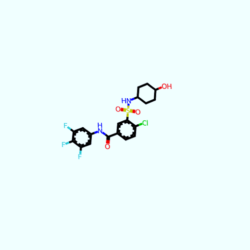 O=C(Nc1cc(F)c(F)c(F)c1)c1ccc(Cl)c(S(=O)(=O)NC2CCC(O)CC2)c1